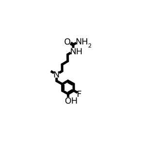 CN(CCCCNC(N)=O)Cc1ccc(F)c(O)c1